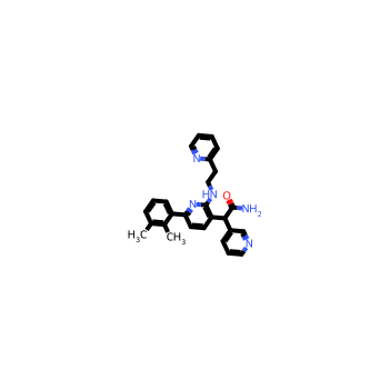 Cc1cccc(-c2ccc(C(C(N)=O)c3cccnc3)c(NCCc3ccccn3)n2)c1C